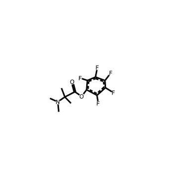 CN(C)C(C)(C)C(=O)Oc1c(F)c(F)c(F)c(F)c1F